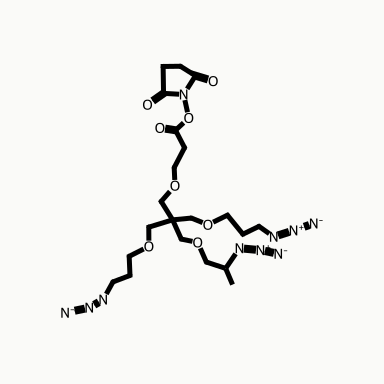 CC(COCC(COCCCN=[N+]=[N-])(COCCCN=[N+]=[N-])COCCC(=O)ON1C(=O)CCC1=O)N=[N+]=[N-]